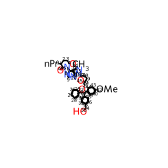 CCCC1CCC(=O)N(c2ncnc3c2c(C)nn3[C@H]2CC[C@@H](COC(c3ccccc3)(c3ccc(CO)cc3)c3ccc(OC)cc3)O2)C1=O